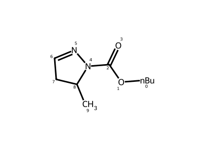 CCCCOC(=O)N1N=CCC1C